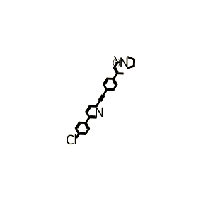 CC(=C[C@@H](C)N1CCCC1)c1ccc(C#Cc2ccc(-c3ccc(Cl)cc3)cn2)cc1